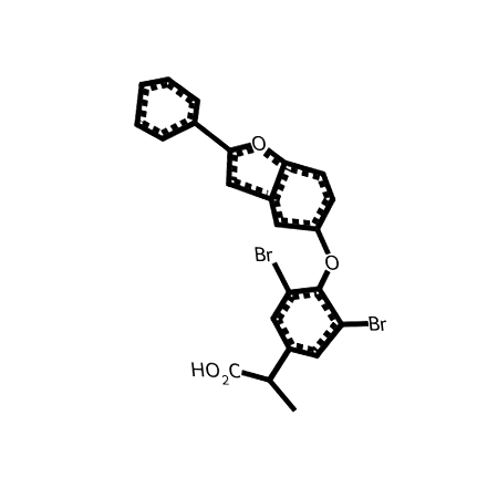 CC(C(=O)O)c1cc(Br)c(Oc2ccc3oc(-c4ccccc4)cc3c2)c(Br)c1